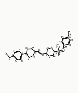 CCc1ccc(C2CCC(/C=C/C3CCC(C(F)(F)Oc4ccc(F)cc4)CC3)CC2)cc1